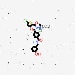 C[C@H](NN(C(=O)c1ccc(Cl)s1)C(=O)c1ccc(C(=O)NCc2cccc(O)c2)cc1Cl)C(=O)O